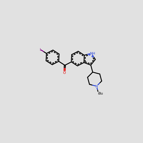 CCC(C)N1CCC(c2c[nH]c3ccc(C(=O)c4ccc(I)cc4)cc23)CC1